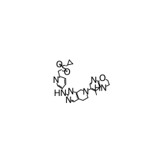 Cc1c(N2CCc3cnc(Nc4ccc(CS(=O)(=O)C5CC5)nc4)nc3C2)cnc2c1NCCO2